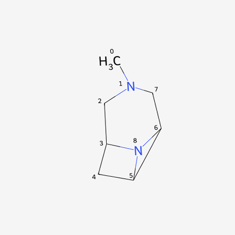 CN1CC2CC3C(C1)N23